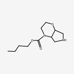 CCCCOC(=O)N1CCOC2CNCC21